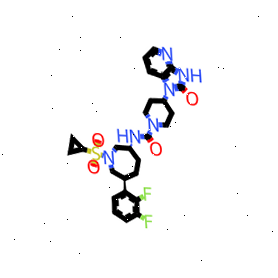 O=C(N[C@@H]1CC[C@@H](c2cccc(F)c2F)CN(S(=O)(=O)C2CC2)C1)N1CCC(n2c(=O)[nH]c3ncccc32)CC1